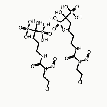 O=NN(CCCl)C(=O)NCCCC(O)(P(=O)(O)O)P(=O)(O)O.O=NN(CCCl)C(=O)NCCCCC(O)(P(=O)(O)O)P(=O)(O)O